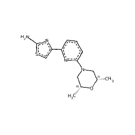 C[C@@H]1CN(c2cccc(-c3csc(N)n3)n2)C[C@H](C)O1